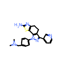 CN(C)Cc1ccc(-n2nc(-c3cccnc3)c3c2-c2sc(N)nc2CC3)cc1